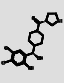 O=C([C@@H]1CCNC1)N1CCC([C@H](O)c2cc(Cl)c(Cl)cc2O)CC1